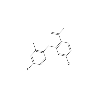 C=C(C)c1ccc(Cl)cc1Cc1ccc(F)cc1C